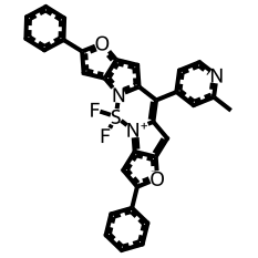 Cc1cc(C2=C3C=c4oc(-c5ccccc5)cc4=[N+]3S(F)(F)n3c2cc2oc(-c4ccccc4)cc23)ccn1